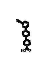 N#Cc1cncc(N2CCC(C3CCN(C(=O)O)CC3)CC2)n1